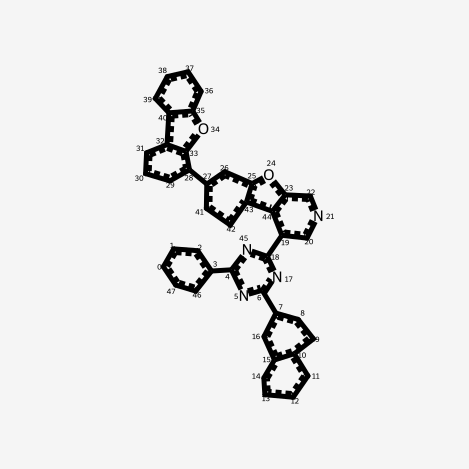 c1ccc(-c2nc(-c3ccc4ccccc4c3)nc(-c3cncc4oc5cc(-c6cccc7c6oc6ccccc67)ccc5c34)n2)cc1